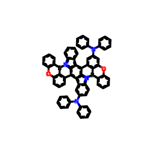 c1ccc(N(c2ccccc2)c2cc3c4c(c2)-c2c5c6ccccc6n6c5c(c5c7cc(N(c8ccccc8)c8ccccc8)ccc7n(c25)B4c2ccccc2O3)-c2cccc3c2B6c2ccccc2O3)cc1